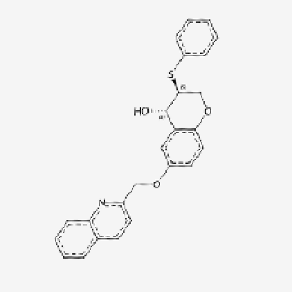 O[C@H]1c2cc(OCc3ccc4ccccc4n3)ccc2OC[C@@H]1Sc1ccccc1